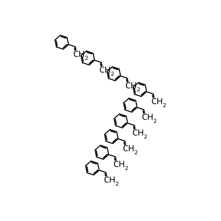 C=Cc1ccccc1.C=Cc1ccccc1.C=Cc1ccccc1.C=Cc1ccccc1.C=Cc1ccccc1.C=Cc1ccccc1.C=Cc1ccccc1.C=Cc1ccccc1.C=Cc1ccccc1